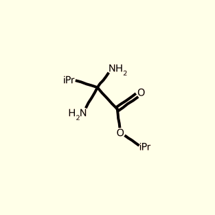 CC(C)OC(=O)C(N)(N)C(C)C